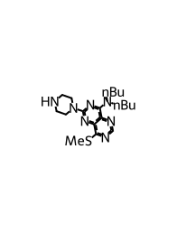 CCCCN(CCCC)c1nc(N2CCNCC2)nc2c(SC)ncnc12